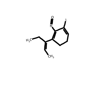 C/C=C(/CC)C1=C(N=O)C(I)=CCC1